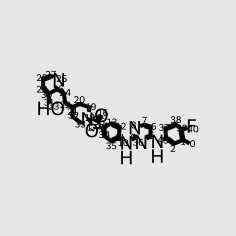 Cc1cc(Nc2ccnc(Nc3ccc(S(=O)(=O)N4CCC(C(O)Cc5ncccc5C)CC4)cc3)n2)ccc1F